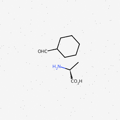 C[C@H](N)C(=O)O.O=CC1CCCCC1